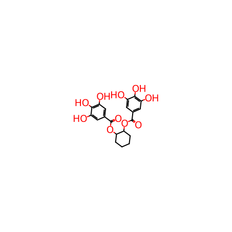 O=C(OC1CCCCC1OC(=O)c1cc(O)c(O)c(O)c1)c1cc(O)c(O)c(O)c1